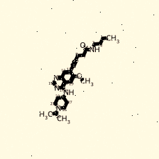 CCCCNC(=O)CCC#Cc1cc2ncnc(NC3CCN(C(C)C)CC3)c2cc1OC